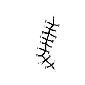 OC(F)([C](F)C(F)(F)C(F)(F)C(F)(F)C(F)(F)C(F)(F)C(F)(F)F)C(F)(F)F